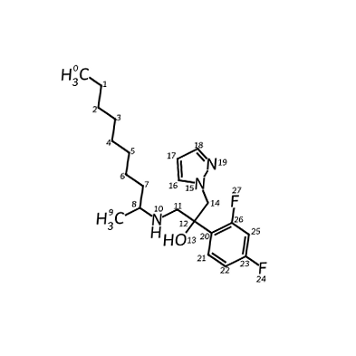 CCCCCCCCC(C)NCC(O)(Cn1cccn1)c1ccc(F)cc1F